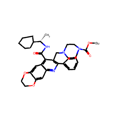 C[C@H](NC(=O)c1c(CN2CCN(C(=O)OC(C)(C)C)CC2)c(-c2ccccc2)nc2cc3c(cc12)OCCO3)C1CCCCC1